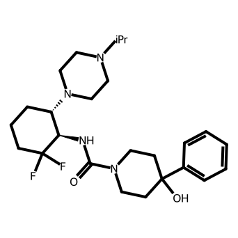 CC(C)N1CCN([C@H]2CCCC(F)(F)[C@@H]2NC(=O)N2CCC(O)(c3ccccc3)CC2)CC1